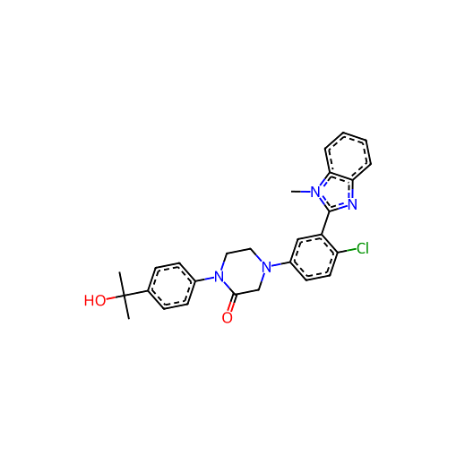 Cn1c(-c2cc(N3CCN(c4ccc(C(C)(C)O)cc4)C(=O)C3)ccc2Cl)nc2ccccc21